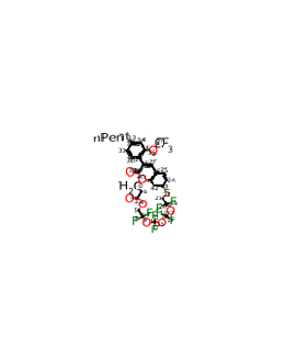 C=CC(=O)OCC(F)(F)OC(F)(F)OC(F)(F)OC(F)(F)CSc1ccc2cc(-c3ccc(CCCCC)cc3OC(F)(F)F)c(=O)oc2c1